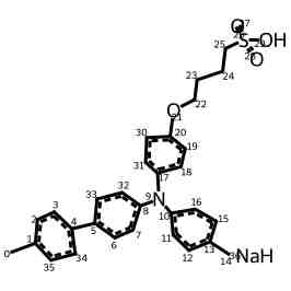 Cc1ccc(-c2ccc(N(c3ccc(C)cc3)c3ccc(OCCCCS(=O)(=O)O)cc3)cc2)cc1.[NaH]